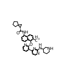 Cc1ccc2c(NC(=O)[C@@H]3CC34CCCC4)cccc2c1Oc1ncccc1-c1ccnc(NC2CCCNC2)n1